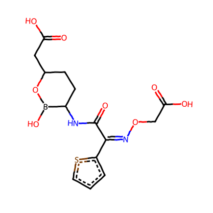 O=C(O)CO/N=C(\C(=O)NC1CCC(CC(=O)O)OB1O)c1cccs1